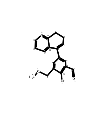 COCc1cc(C2=CCCc3ncccc32)cc(C=O)c1O